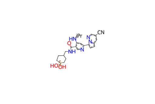 CC(C)Nc1cc(-c2ccc3cc(C#N)cnn23)ncc1C(=O)NCC1CCS(O)(O)CC1